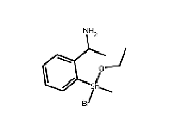 CC[O][Sn]([CH3])([Br])[c]1ccccc1C(C)N